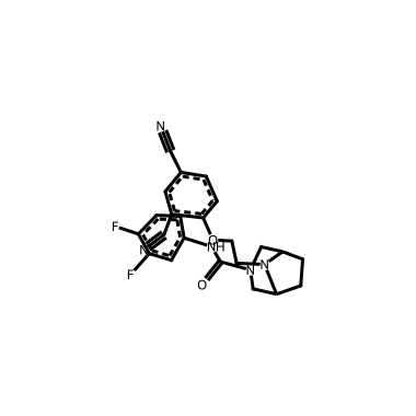 N#Cc1ccc(OCCN2C3CCC2CN(C(=O)Nc2ccc(F)c(F)c2)C3)c(C#N)c1